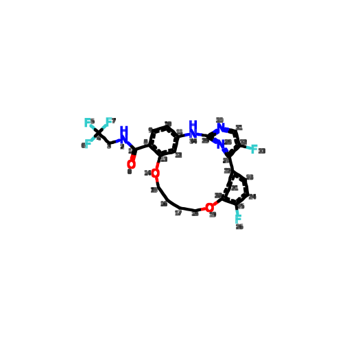 O=C(NCC(F)(F)F)c1ccc2cc1OCCCCOc1cc(ccc1F)-c1nc(ncc1F)N2